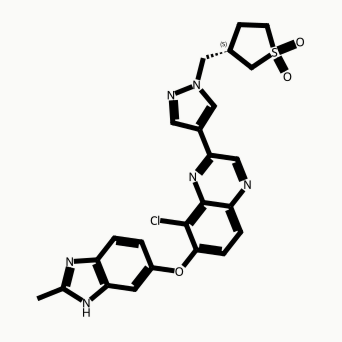 Cc1nc2ccc(Oc3ccc4ncc(-c5cnn(C[C@@H]6CCS(=O)(=O)C6)c5)nc4c3Cl)cc2[nH]1